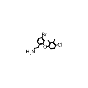 Cc1c(Cl)ccc(Oc2cc(Br)ccc2CCN)c1C